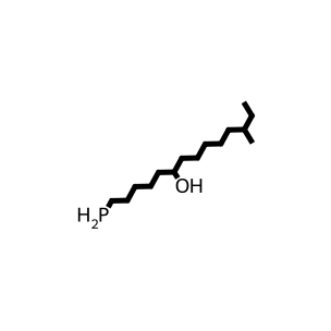 CCC(C)CCCCCC(O)CCCCCP